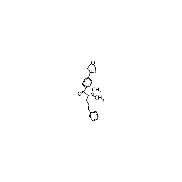 CN(C)C(CCCc1ccccc1)C(=O)c1ccc(N2CCOCC2)cc1